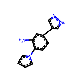 Nc1cc(-c2cn[nH]c2)ccc1-n1cccc1